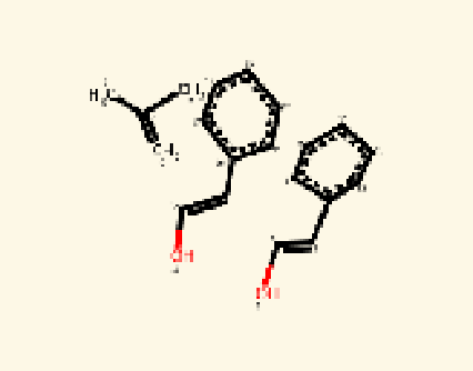 C=C(C)C.OC=Cc1ccccc1.OC=Cc1ccccc1